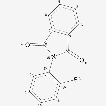 O=C1c2ccccc2C(=O)N1c1ccccc1F